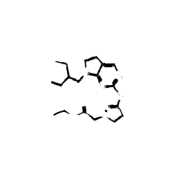 CCOC(=O)Cn1ccc(Nc2ncc3ccn(CC(CC)CC)c3n2)n1